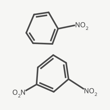 O=[N+]([O-])c1cccc([N+](=O)[O-])c1.O=[N+]([O-])c1ccccc1